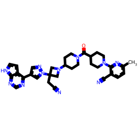 Cc1ccc(C#N)c(N2CCC(C(=O)N3CCC(N4CC(CC#N)(n5cc(-c6ncnc7[nH]ccc67)cn5)C4)CC3)CC2)n1